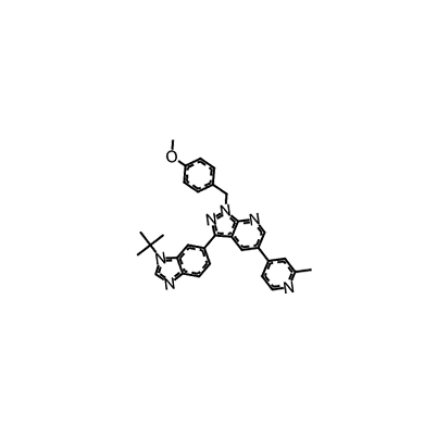 COc1ccc(Cn2nc(-c3ccc4ncn(C(C)(C)C)c4c3)c3cc(-c4ccnc(C)c4)cnc32)cc1